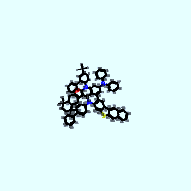 CC(C)(C)c1ccc(N2c3cc(N(c4ccccc4)c4ccccc4)cc4c3B(c3c2oc2cc5c(cc32)C(C)(C)CCC5(C)C)N(c2ccc(-c3ccccc3)cc2)c2cc3sc5cc6ccccc6cc5c3cc2-4)c(-c2ccccc2)c1